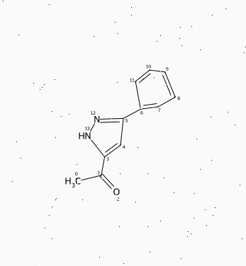 CC(=O)c1cc(-c2ccccc2)n[nH]1